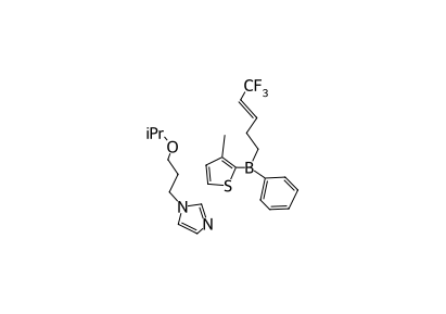 CC(C)OCCCn1ccnc1.Cc1ccsc1B(CCC=CC(F)(F)F)c1ccccc1